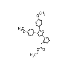 CCOC(=O)Cn1cccc1-c1cc(-c2ccc(OC)cc2)c(-c2ccc(OC)cc2)o1